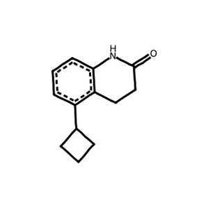 O=C1CCc2c(cccc2C2CCC2)N1